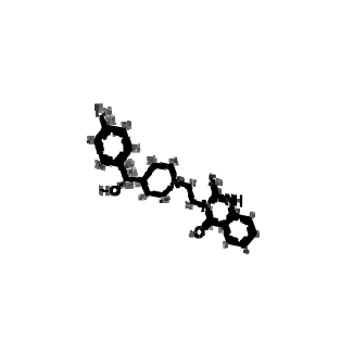 O=c1c2ccccc2[nH]c(=S)n1CCN1CCC([C@H](O)c2ccc(F)cc2)CC1